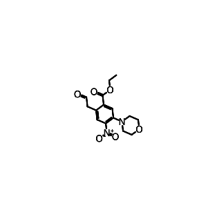 CCOC(=O)c1cc(N2CCOCC2)c([N+](=O)[O-])cc1CC=O